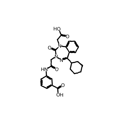 O=C(O)CN1C(=O)N(CC(=O)Nc2cccc(C(=O)O)c2)N=C(C2CCCCC2)c2ccccc21